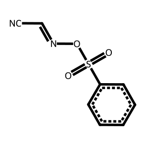 N#C/C=N/OS(=O)(=O)c1ccccc1